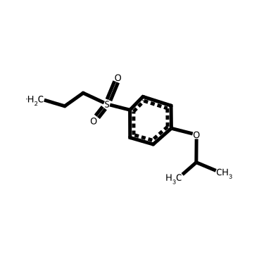 [CH2]CCS(=O)(=O)c1ccc(OC(C)C)cc1